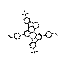 C=Cc1ccc(-c2cc3c4c(c2)-n2c5ccc(C(C)(C)C)cc5c5cc(-c6ccc(C=C)cc6)cc(c52)B4c2cccc4c5cc(C(C)(C)C)ccc5n-3c24)cc1